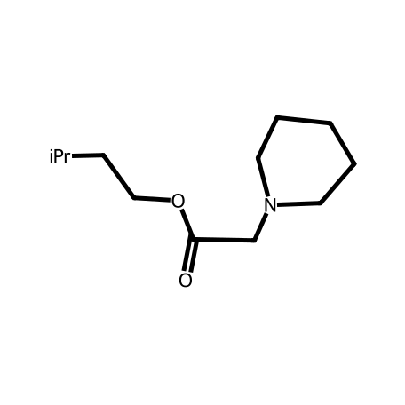 CC(C)CCOC(=O)CN1CCCCC1